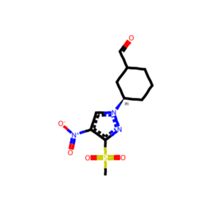 CS(=O)(=O)c1nn([C@@H]2CCCC(C=O)C2)cc1[N+](=O)[O-]